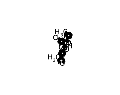 Cc1cccc(C(=O)c2cc(Cl)ccc2NS(=O)(=O)c2ccc(C3(C)CCOCC3)cc2)n1